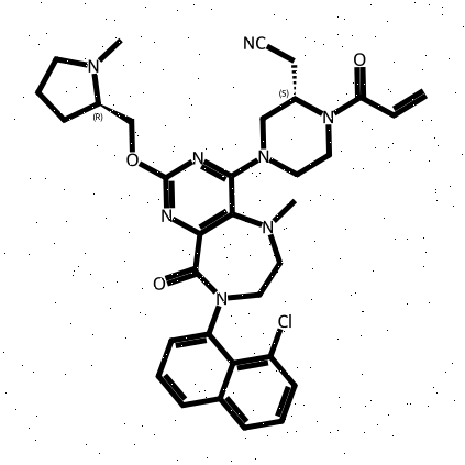 C=CC(=O)N1CCN(c2nc(OC[C@H]3CCCN3C)nc3c2N(C)CCN(c2cccc4cccc(Cl)c24)C3=O)C[C@@H]1CC#N